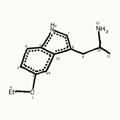 CCOc1ccc2[nH]cc(CC(C)N)c2c1